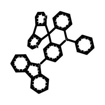 c1ccc(N2c3ccccc3C3(c4cc(-n5c6ccccc6c6ccccc65)ccc42)c2ncccc2-c2cccnc23)cc1